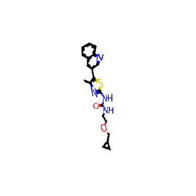 Cc1nc(NC(=O)NCCOCC2CC2)sc1-c1cnc2ccccc2c1